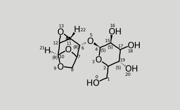 OCC1O[C@@H](O[C@@H]2C3CO[C@H](O3)C3O[C@@H]32)[C@@H](O)C(O)[C@@H]1O